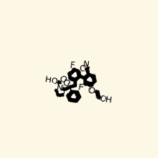 N#Cc1ccc(OCCO)c(F)c1-c1c(Cl)c(F)cc2c1C[C@](c1ccccc1)([C@@H]1CCCN1C(=O)O)O2